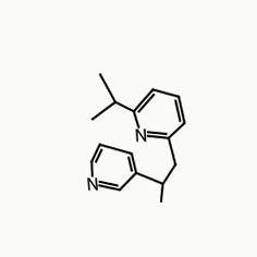 CC(C)c1cccc(CC(C)c2cccnc2)n1